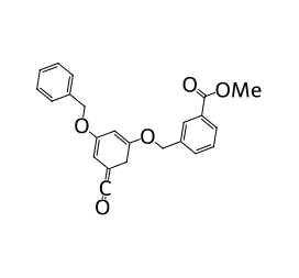 COC(=O)c1cccc(COC2=CC(OCc3ccccc3)=CC(=C=O)C2)c1